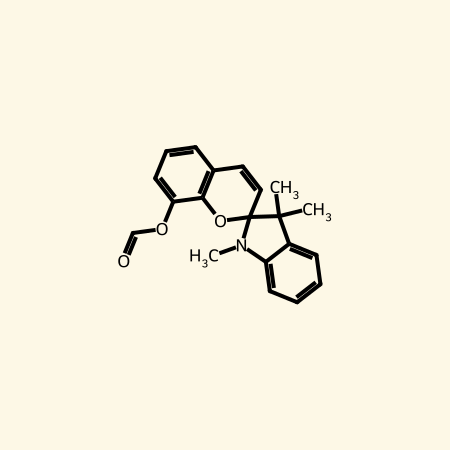 CN1c2ccccc2C(C)(C)C12C=Cc1cccc(OC=O)c1O2